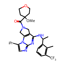 COC1(C(=O)N2Cc3c(NC(C)c4cccc(C(F)(F)F)c4C)nc4ncc(C(C)C)n4c3C2)CCOCC1